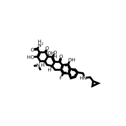 CN(C)[C@@H]1C(O)=C(C(N)=O)C(=O)[C@@]2(O)C(O)=C3C(=O)c4c(c(F)c5ccc(CNCC6CC6)cc5c4O)C[C@H]3C[C@@H]12